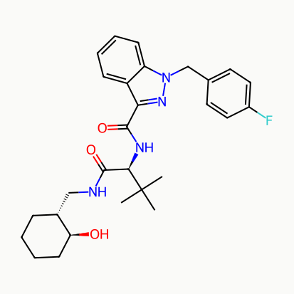 CC(C)(C)[C@H](NC(=O)c1nn(Cc2ccc(F)cc2)c2ccccc12)C(=O)NC[C@H]1CCCC[C@@H]1O